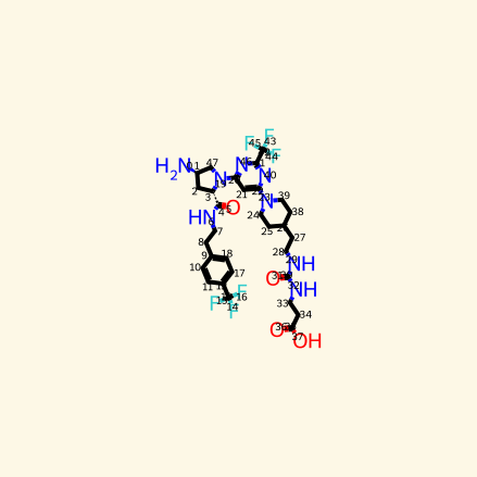 N[C@@H]1C[C@@H](C(=O)NCCc2ccc(C(F)(F)F)cc2)N(c2cc(N3CCC(CCNC(=O)NCCC(=O)O)CC3)nc(C(F)(F)F)n2)C1